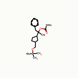 CNC(=O)OC(C#N)(Cc1ccccc1)C1CCC(CO[Si](C)(C)C(C)(C)C)C1